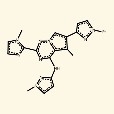 Cc1c(-c2ccn(C(C)C)n2)cn2nc(-c3nccn3C)nc(Nc3ccn(C)n3)c12